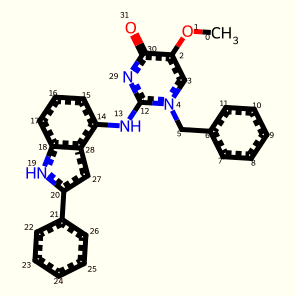 COc1cn(Cc2ccccc2)c(Nc2cccc3[nH]c(-c4ccccc4)cc23)nc1=O